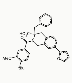 COc1cc(C(=O)N2Cc3cc(-c4ccco4)ccc3CC2(Cc2ccccc2)C(=O)O)ccc1C(C)(C)C